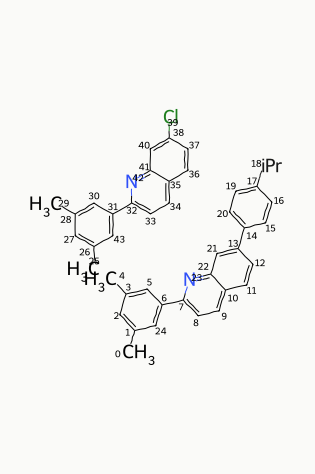 Cc1cc(C)cc(-c2ccc3ccc(-c4ccc(C(C)C)cc4)cc3n2)c1.Cc1cc(C)cc(-c2ccc3ccc(Cl)cc3n2)c1